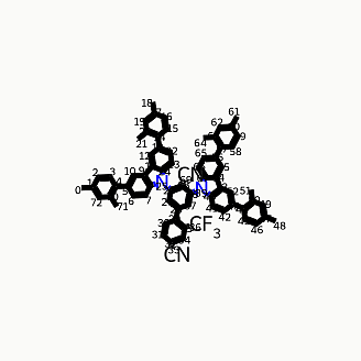 Cc1ccc(-c2ccc3c(c2)c2cc(-c4ccc(C)cc4C)ccc2n3-c2cc(-c3ccc(C#N)cc3C(F)(F)F)cc(-n3c4ccc(-c5ccc(C)cc5C)cc4c4cc(-c5ccc(C)cc5C)ccc43)c2C#N)c(C)c1